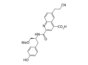 COC[C@H](Cc1ccc(O)cc1)NC(=O)c1cc(C(=O)O)c2cc(CCC#N)ccc2n1